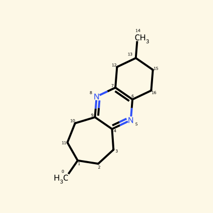 CC1CCc2nc3c(nc2CC1)CC(C)CC3